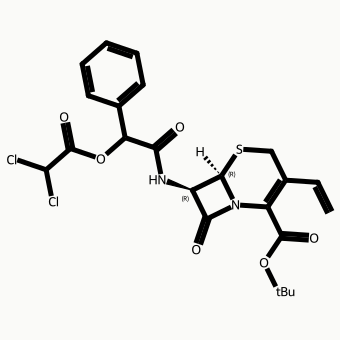 C=CC1=C(C(=O)OC(C)(C)C)N2C(=O)[C@@H](NC(=O)C(OC(=O)C(Cl)Cl)c3ccccc3)[C@H]2SC1